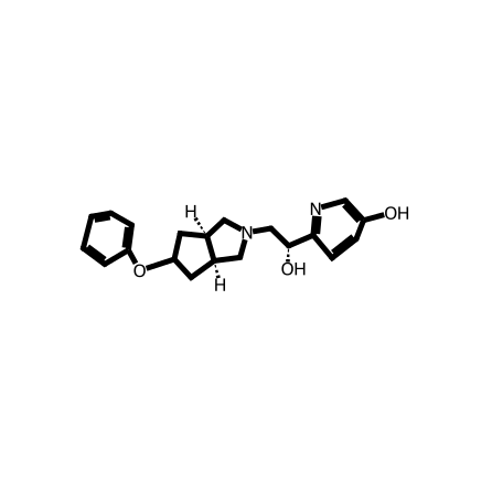 Oc1ccc([C@H](O)CN2C[C@H]3CC(Oc4ccccc4)C[C@H]3C2)nc1